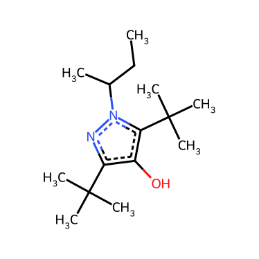 CCC(C)n1nc(C(C)(C)C)c(O)c1C(C)(C)C